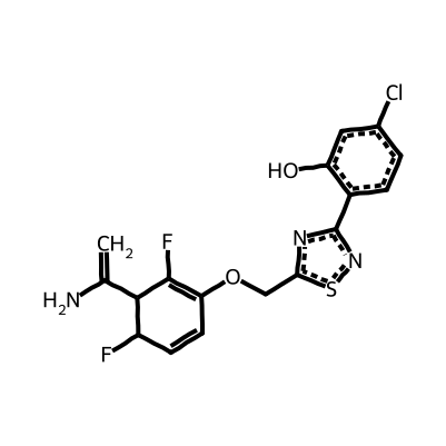 C=C(N)C1C(F)=C(OCc2nc(-c3ccc(Cl)cc3O)ns2)C=CC1F